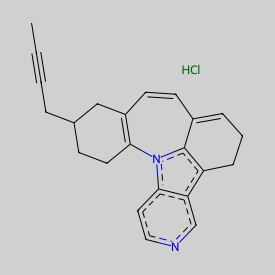 CC#CCC1CCC2=C(C=CC3=CCCc4c3n2c2ccncc42)C1.Cl